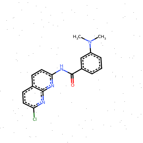 CN(C)c1cccc(C(=O)Nc2ccc3ccc(Cl)nc3n2)c1